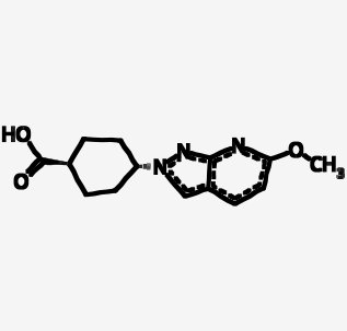 COc1ccc2cn([C@H]3CC[C@H](C(=O)O)CC3)nc2n1